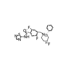 [O-][S+](Nc1ncns1)c1cc(F)c(CN2CC[C@@H](F)C[C@H]2c2ccccc2)cc1F